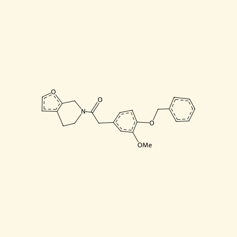 COc1cc(CC(=O)N2CCc3ccoc3C2)ccc1OCc1ccccc1